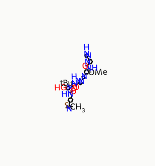 COc1cc(N2CC(n3ccc(C(=O)N[C@H](C(=O)N4C[C@H](O)C[C@H]4C(=O)NCc4ccc(-c5scnc5C)cc4)C(C)(C)C)n3)C2)ccc1NC(=O)c1cccc(-c2cc[nH]n2)n1